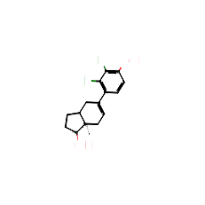 C[C@]12CC=C(c3ccc(O)c(F)c3F)CC1CC[C@@H]2O